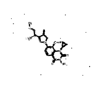 CCOC[C@H](N)C1CN(c2ccc3c(=O)n(N)c(=O)n(C4CC4)c3c2OC)CC1C